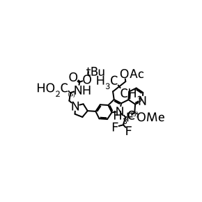 CO[C@@H](C)c1ncccc1-c1c(CC(C)(C)COC(C)=O)c2cc(C3CCN(C[C@H](NC(=O)OC(C)(C)C)C(=O)O)C3)ccc2n1C(F)C(F)F